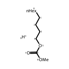 CCCCCCCCCCOC(=O)OC.[H+]